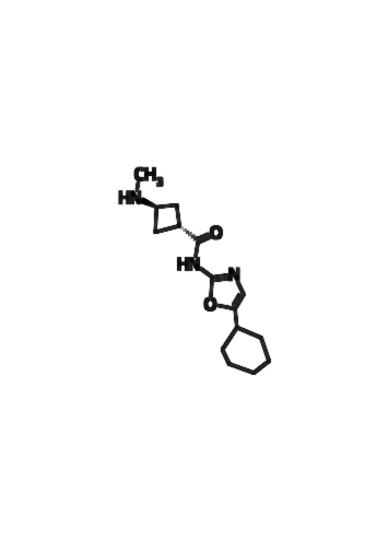 CN[C@H]1C[C@H](C(=O)Nc2ncc(C3CCCCC3)o2)C1